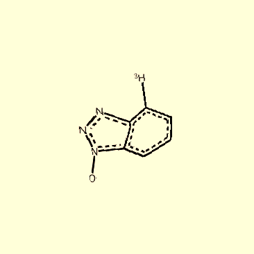 [3H]c1cccc2c1nnn2[O]